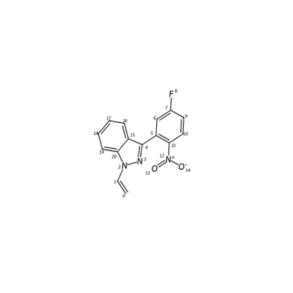 C=Cn1nc(-c2cc(F)ccc2[N+](=O)[O-])c2ccccc21